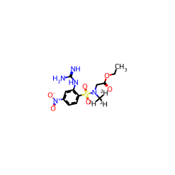 [2H]C([2H])([2H])N(CC(=O)OCC)S(=O)(=O)c1ccc([N+](=O)[O-])cc1NC(=N)N